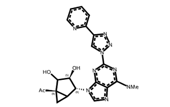 CNc1nc(-n2cc(-c3ccccn3)nn2)nc2c1ncn2[C@@H]1C2C[C@]2(C(C)=O)C(O)[C@H]1O